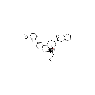 COc1cccc(-c2ccc3c(c2)C24CCN(C(=O)Cc5ccccn5)CCC2(O)C(C3)N(CC2CC2)CC4)n1